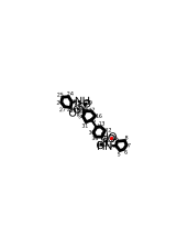 O=S(=O)(Nc1ccccc1O)c1ccc(-c2ccc(S(=O)(=O)Nc3ccccc3O)cc2)cc1